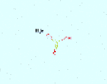 O=[SH](=O)O.[InH3]